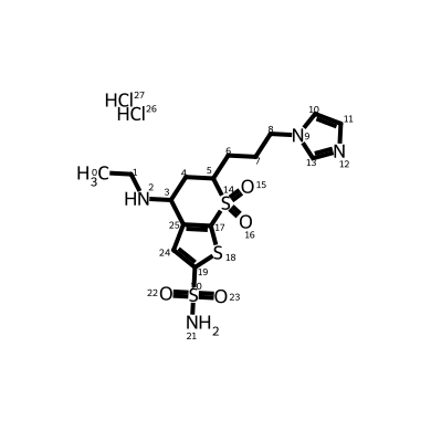 CCNC1CC(CCCn2ccnc2)S(=O)(=O)c2sc(S(N)(=O)=O)cc21.Cl.Cl